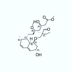 CC[C@](C)(C=O)CO[C@H]1C[C@H](O)C=C2C=C[C@H](C)[C@H](CC[C@H](C[C@@H](O)CC(=O)OC)OC)[C@H]21